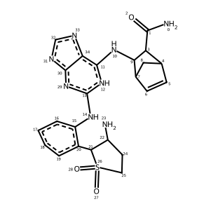 NC(=O)C1C2C=CC(C2)C1Nc1[nH]c(Nc2ccccc2C2C(N)CCS2(=O)=O)nc2ncnc1-2